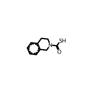 O=C(S)N1CCc2ccccc2C1